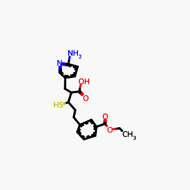 CCOC(=O)c1cccc(CCC(S)C(Cc2ccc(N)nc2)C(=O)O)c1